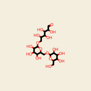 O=CC(O)C(O)C(O)C(O)COC1OC(COC2OC(CO)C(O)C(O)C2O)C(O)C(O)C1O